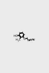 Cc1c(O)cccc1OCN=[N+]=[N-]